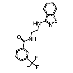 O=C(NCCNc1nsc2ccccc12)c1cccc(C(F)(F)F)c1